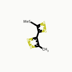 CSc1ssc1-c1ssc1C